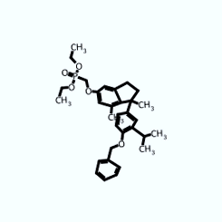 CCOP(=O)(COc1cc(C)c2c(c1)CCC2(C)c1ccc(OCc2ccccc2)c(C(C)C)c1)OCC